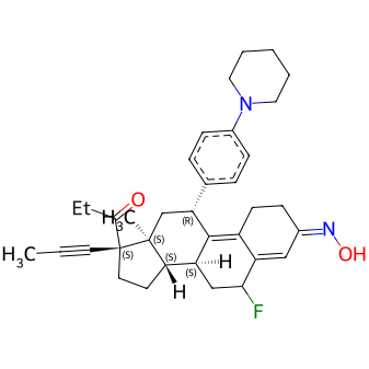 CC#C[C@]1(C(=O)CC)CC[C@H]2[C@@H]3CC(F)C4=CC(=NO)CCC4=C3[C@@H](c3ccc(N4CCCCC4)cc3)C[C@@]21C